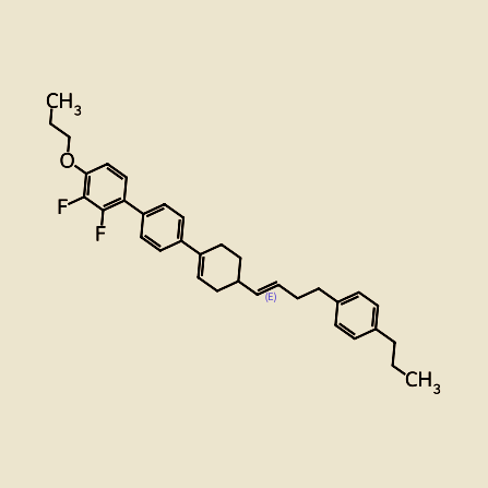 CCCOc1ccc(-c2ccc(C3=CCC(/C=C/CCc4ccc(CCC)cc4)CC3)cc2)c(F)c1F